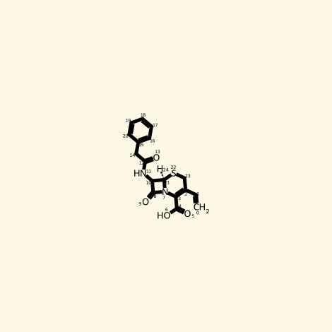 C=CC1=C(C(=O)O)N2C(=O)C(NC(=O)Cc3ccccc3)[C@H]2SC1